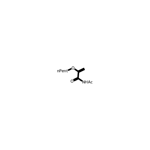 C=C(OCCCCC)C(=O)NC(C)=O